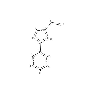 O=Cc1ccc(-c2ccncc2)o1